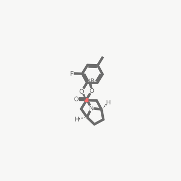 Cc1ccc(O[C@H]2C[C@H]3CC[C@@H](C2)N3C(=O)OC(C)(C)C)c(F)c1